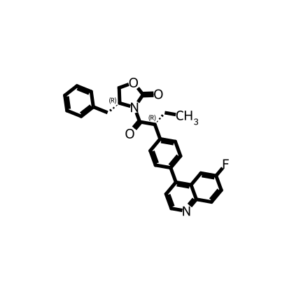 CC[C@@H](C(=O)N1C(=O)OC[C@H]1Cc1ccccc1)c1ccc(-c2ccnc3ccc(F)cc23)cc1